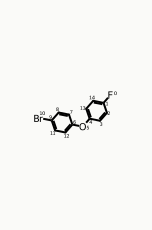 Fc1ccc(Oc2ccc(Br)cc2)cc1